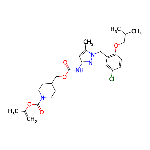 C=C(C)OC(=O)N1CCC(COC(=O)Nc2cc(C)n(Cc3cc(Cl)ccc3OCC(C)C)n2)CC1